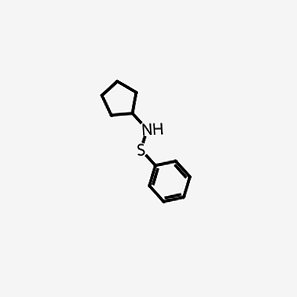 c1ccc(SNC2CCCC2)cc1